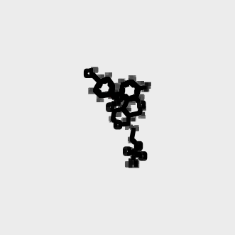 CCS(=O)(=O)OCC[C@@H]1OCC[C@@]2(S(=O)(=O)c3ccc(Cl)cc3)c3c(F)ccc(F)c3OCC12